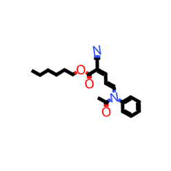 CCCCCCOC(=O)C(C#N)=CC=CN(C(C)=O)c1ccccc1